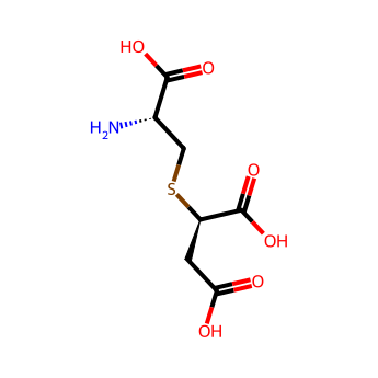 N[C@@H](CS[C@H](CC(=O)O)C(=O)O)C(=O)O